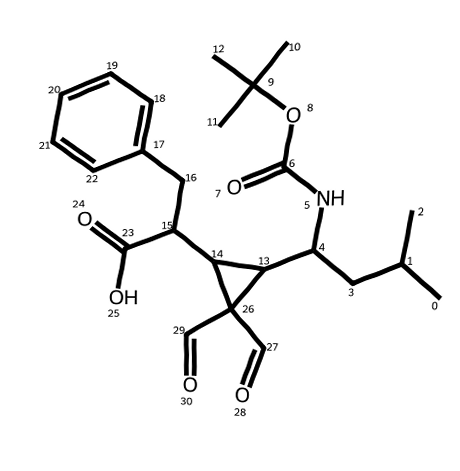 CC(C)CC(NC(=O)OC(C)(C)C)C1C(C(Cc2ccccc2)C(=O)O)C1(C=O)C=O